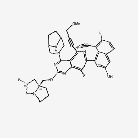 C#Cc1c(F)ccc2cc(O)cc(-c3nc(C#CCOC)c4c(N5CC6CCC(C5)N6)nc(OC[C@@]56CCCN5C[C@H](F)C6)nc4c3F)c12